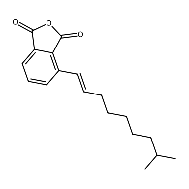 CC(C)CCCCCC=Cc1cccc2c1C(=O)OC2=O